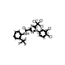 O=C(Nc1ccccc1C(F)(F)F)c1nc(C(Cl)(Cl)Cl)n(-c2ccc(Cl)c(Cl)c2)n1